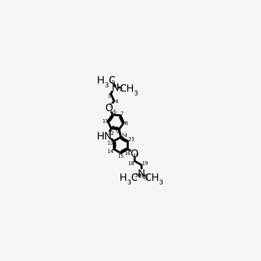 CN(C)CCOc1ccc2c(c1)[nH]c1ccc(OCCN(C)C)cc12